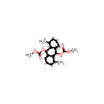 COC(=O)Oc1c2cccc(C)c2c(OC(=O)OC)c2cccc(C)c12